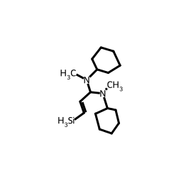 CN(C1CCCCC1)C(C=C[SiH3])N(C)C1CCCCC1